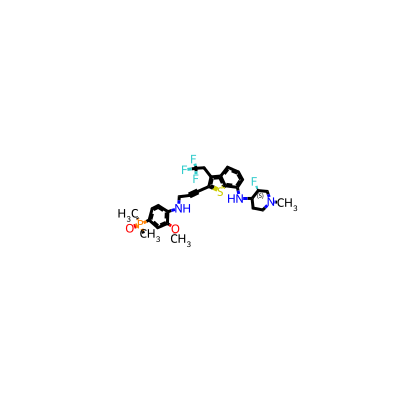 COc1cc(P(C)(C)=O)ccc1NCC#Cc1sc2c(NC3CCN(C)C[C@@H]3F)cccc2c1CC(F)(F)F